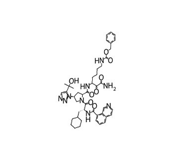 CC(C)(O)c1cnnn1[C@H]1C[C@@H](C(=O)NC(CCCCNC(=O)OCc2ccccc2)C(=O)C(N)=O)N(C(=O)[C@@H](CC2CCCCC2)NC(=O)c2cccc3ccncc23)C1